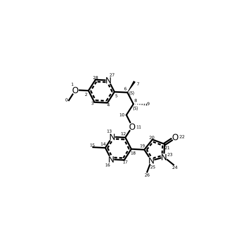 COc1ccc([C@@H](C)[C@H](C)COc2nc(C)ncc2-c2cc(=O)n(C)n2C)nc1